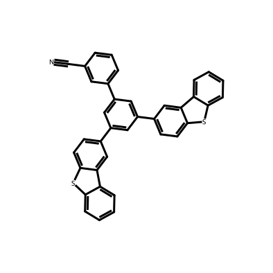 N#Cc1cccc(-c2cc(-c3ccc4sc5ccccc5c4c3)cc(-c3ccc4sc5ccccc5c4c3)c2)c1